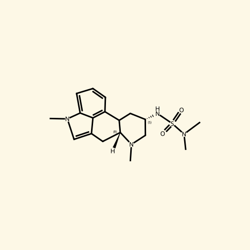 CN1C[C@@H](NS(=O)(=O)N(C)C)CC2c3cccc4c3c(cn4C)C[C@H]21